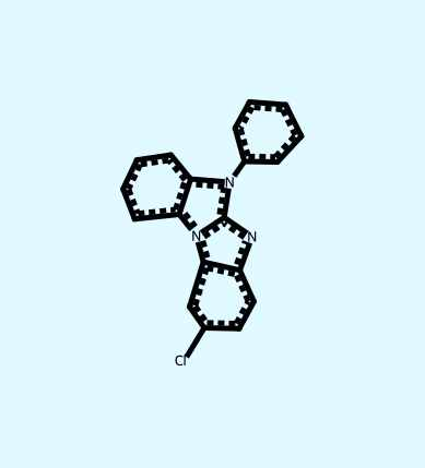 Clc1ccc2nc3n(-c4ccccc4)c4ccccc4n3c2c1